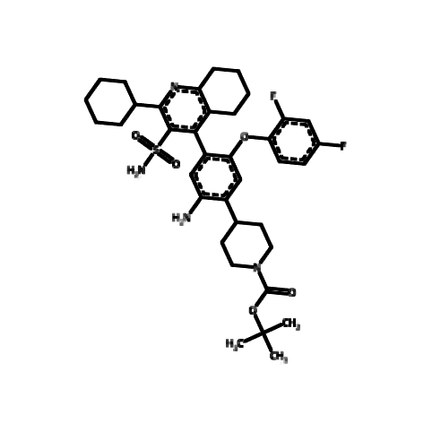 CC(C)(C)OC(=O)N1CCC(c2cc(Oc3ccc(F)cc3F)c(-c3c4c(nc(C5CCCCC5)c3S(N)(=O)=O)CCCC4)cc2N)CC1